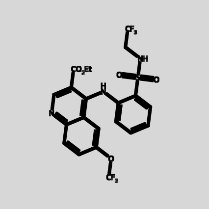 CCOC(=O)c1cnc2ccc(OC(F)(F)F)cc2c1Nc1ccccc1S(=O)(=O)NCC(F)(F)F